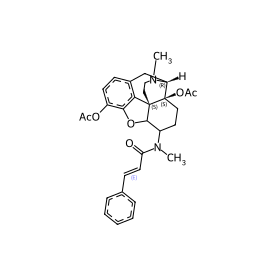 CC(=O)Oc1ccc2c3c1OC1C(N(C)C(=O)/C=C/c4ccccc4)CC[C@@]4(OC(C)=O)[C@@H](C2)N(C)CC[C@]314